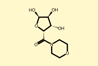 O=C([C@@H]1O[C@@H](O)[C@@H](O)[C@@H]1O)N1CCOCC1